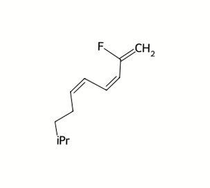 C=C(F)/C=C\C=C/CCC(C)C